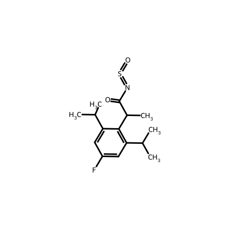 CC(C)c1cc(F)cc(C(C)C)c1C(C)C(=O)N=S=O